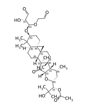 CC(=O)O[C@@H]([C@H]1C[C@@H](C)[C@@H]2[C@H](O1)C(=O)[C@@]1(C)[C@@H]3CC[C@H]4C(C)(C)[C@@H](O[C@H](OCC=O)[C@H](O)C=O)CC[C@@]45C[C@@]35CC[C@]21C)C(C)(C)O